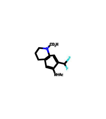 CC(=O)Nc1cc2c(cc1C(F)F)N(C(=O)O)CCC2